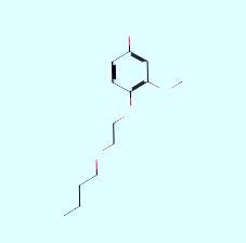 CCCCOCCOc1ccc(O)cc1OC